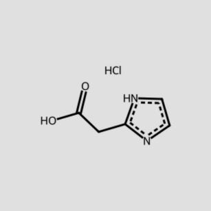 Cl.O=C(O)Cc1ncc[nH]1